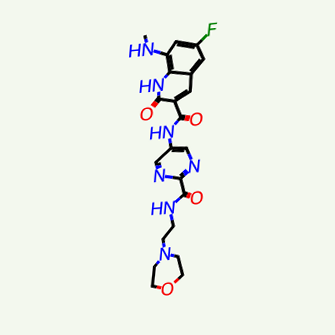 CNc1cc(F)cc2cc(C(=O)Nc3cnc(C(=O)NCCN4CCOCC4)nc3)c(=O)[nH]c12